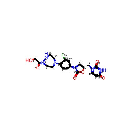 O=C(CO)N1CCN(c2ccc(N3C[C@H](Cn4ccc(=O)[nH]c4=O)OC3=O)cc2F)CCN1